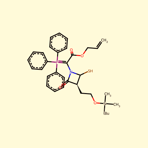 C=CCOC(=O)C(N1C(=O)[C@H](CCO[Si](C)(C)C(C)(C)C)C1S)=P(c1ccccc1)(c1ccccc1)c1ccccc1